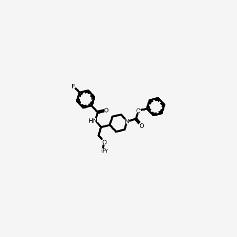 CC(C)OCC(NC(=O)c1ccc(F)cc1)C1CCN(C(=O)Oc2ccccc2)CC1